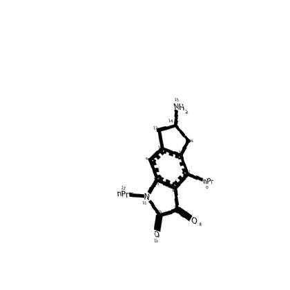 CCCc1c2c(cc3c1C(=O)C(=O)N3CCC)CC(N)C2